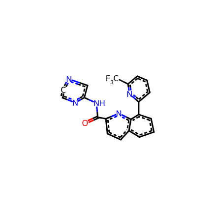 O=C(Nc1cnccn1)c1ccc2cccc(-c3cccc(C(F)(F)F)n3)c2n1